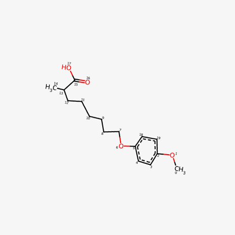 COc1ccc(OCCCCCCC(C)C(=O)O)cc1